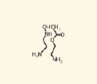 CC(=O)OCCN.NCCNO